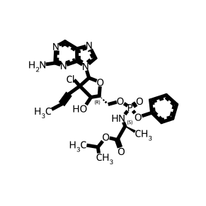 CC#CC1(Cl)C(O)[C@@H](COP(=O)(N[C@@H](C)C(=O)OC(C)C)Oc2ccccc2)OC1n1cnc2cnc(N)nc21